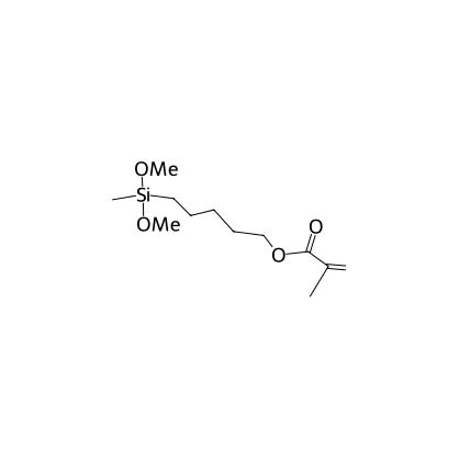 C=C(C)C(=O)OCCCCC[Si](C)(OC)OC